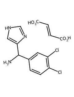 NC(c1ccc(Cl)c(Cl)c1)c1c[nH]cn1.O=C(O)/C=C/C(=O)O